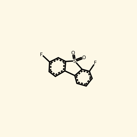 O=S1(=O)c2cc(F)ccc2-c2cccc(F)c21